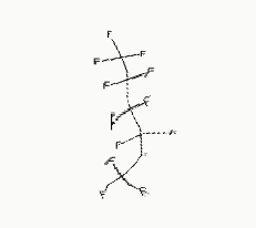 FC(F)(F)[C]C(F)(F)C(F)(F)C(F)(F)C(F)(F)F